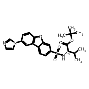 CC(C)[C@H](NS(=O)(=O)c1ccc2c(c1)oc1ccc(-n3ccnc3)cc12)C(=O)OC(C)(C)C